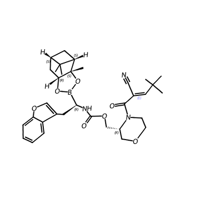 CC(C)(C)/C=C(\C#N)C(=O)N1CCOC[C@@H]1COC(=O)N[C@@H](Cc1coc2ccccc12)B1O[C@@H]2C[C@@H]3C[C@@H](C3(C)C)[C@]2(C)O1